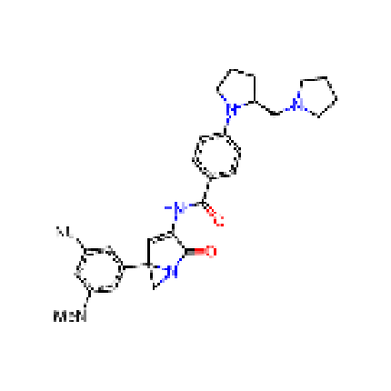 CNc1cc(C#N)cc(C23C=C(NC(=O)c4ccc(N5CCC[C@H]5CN5CCCC5)cc4)C(=O)N2C3)c1